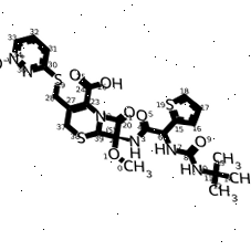 CO[C@@]1(NC(=O)C(NC(=O)NC(C)(C)C)c2cccs2)C(=O)N2C(C(=O)O)=C(CSc3ccc[n+]([O-])n3)CSC21